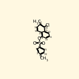 Cc1ccc(S(=O)(=O)Oc2cccc3c(Cl)c(C)ccc23)cc1